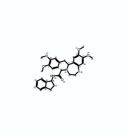 COc1ccc(CC2c3cc(OC)c(OC)cc3SCCN2CC(=O)NC2CCc3ccccc32)cc1OC